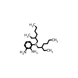 CCCCC(CC)CN(CC(CC)CCCC)c1cccc(N)c1N